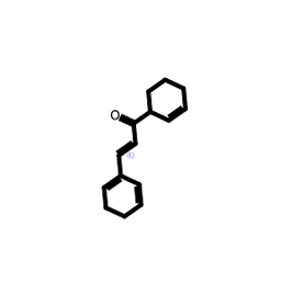 O=C(/C=C/C1=CCCC=C1)C1C=CCCC1